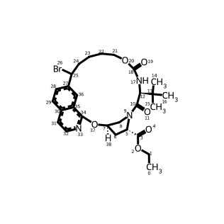 CCOC(=O)[C@@H]1C[C@@H]2CN1C(=O)[C@H](C(C)(C)C)NC(=O)OCCCCC(Br)c1ccc3ccnc(c3c1)O2